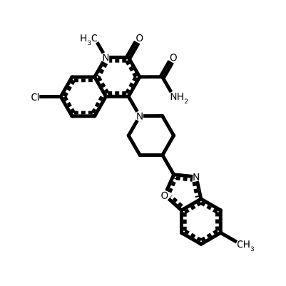 Cc1ccc2oc(C3CCN(c4c(C(N)=O)c(=O)n(C)c5cc(Cl)ccc45)CC3)nc2c1